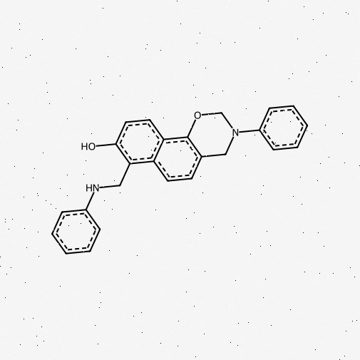 Oc1ccc2c3c(ccc2c1CNc1ccccc1)CN(c1ccccc1)CO3